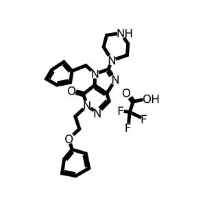 O=C(O)C(F)(F)F.O=c1c2c(cnn1CCOc1ccccc1)nc(N1CCNCC1)n2Cc1ccccc1